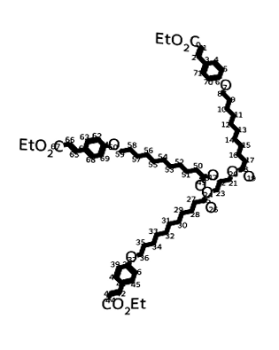 CCOC(=O)C=Cc1ccc(OCCCCCCCCCCC(=O)OCC(COC(=O)CCCCCCCCCCOc2ccc(C=CC(=O)OCC)cc2)OC(=O)CCCCCCCCCCOc2ccc(C=CC(=O)OCC)cc2)cc1